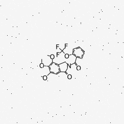 COc1cc2c(c(OC)c1OC)CN(C(=O)c1ccccc1OC(F)(F)F)C2=O